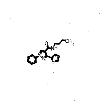 CCCCNC(=O)c1cn(-c2ccccc2)nc1-c1cccs1